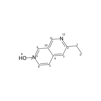 CCc1cc2cc[n+](O)cc2cn1